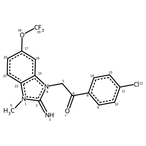 Cn1c(=N)n(CC(=O)c2ccc(Cl)cc2)c2cc(OC(F)(F)F)ccc21